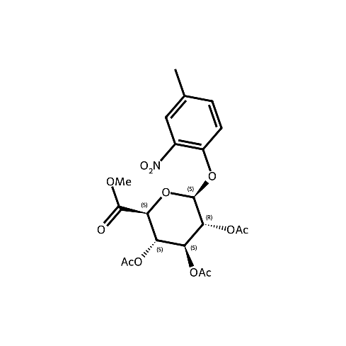 COC(=O)[C@H]1O[C@@H](Oc2ccc(C)cc2[N+](=O)[O-])[C@H](OC(C)=O)[C@@H](OC(C)=O)[C@@H]1OC(C)=O